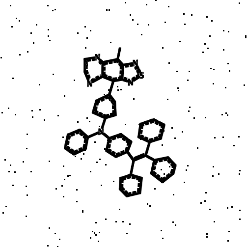 Cc1c2nccnc2c(-c2ccc(N(c3ccccc3)c3ccc(C(=C(c4ccccc4)c4ccccc4)c4ccccc4)cc3)cc2)c2nsnc12